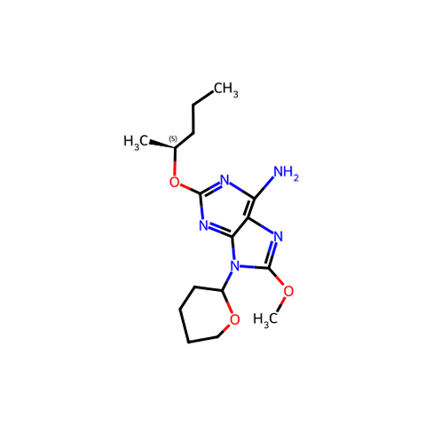 CCC[C@H](C)Oc1nc(N)c2nc(OC)n(C3CCCCO3)c2n1